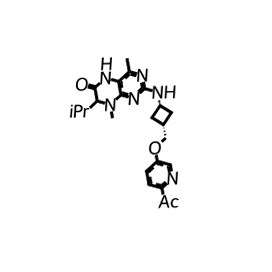 CC(=O)c1ccc(OC[C@H]2C[C@@H](Nc3nc(C)c4c(n3)N(C)C(C(C)C)C(=O)N4)C2)cn1